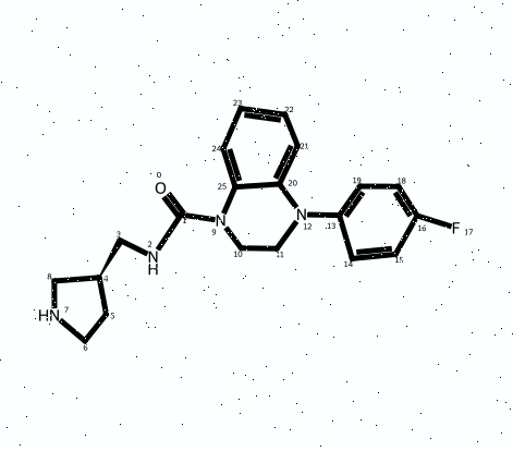 O=C(NC[C@H]1CCNC1)N1CCN(c2ccc(F)cc2)c2ccccc21